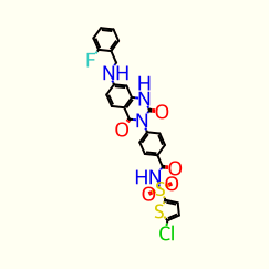 O=C(NS(=O)(=O)c1ccc(Cl)s1)c1ccc(-n2c(=O)[nH]c3cc(NCc4ccccc4F)ccc3c2=O)cc1